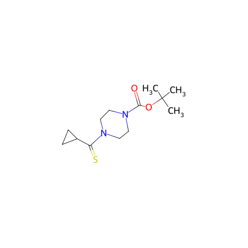 CC(C)(C)OC(=O)N1CCN(C(=S)C2CC2)CC1